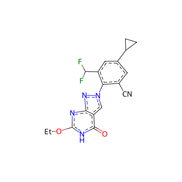 CCOc1nc2nn(-c3c(C#N)cc(C4CC4)cc3C(F)F)cc2c(=O)[nH]1